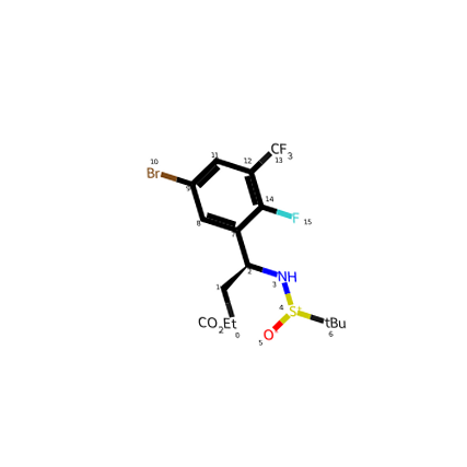 CCOC(=O)C[C@H](N[S+]([O-])C(C)(C)C)c1cc(Br)cc(C(F)(F)F)c1F